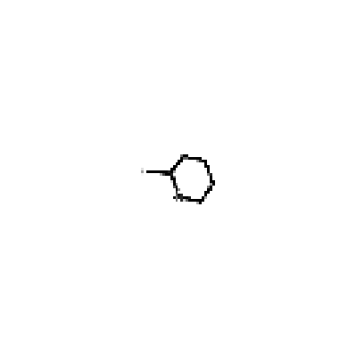 FC1CCCC[N]1